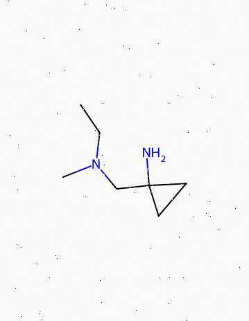 CCN(C)CC1(N)CC1